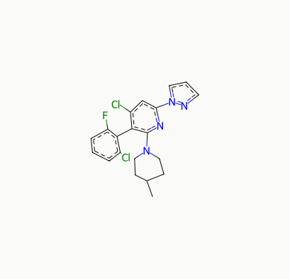 CC1CCN(c2nc(-n3cccn3)cc(Cl)c2-c2c(F)cccc2Cl)CC1